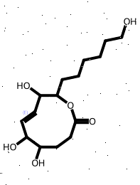 O=C1CCC(O)C(O)/C=C/C(O)C(CCCCCCO)O1